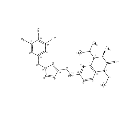 CCN1C(=O)[C@H](C)N(C(C)C)c2nc(NCc3cnn(Cc4cc(F)c(F)c(F)c4)c3)ncc21